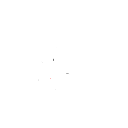 CCCCOC[C@H]1S[C@@H](c2ccc(Cl)c(CC3Cc4ccccc4O3)c2)[C@H](OCCCC)[C@@H](OCCCC)[C@@H]1OCCCC